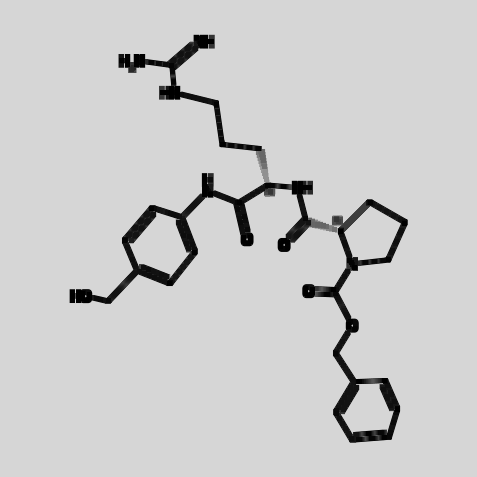 N=C(N)NCCC[C@H](NC(=O)[C@@H]1CCCN1C(=O)OCc1ccccc1)C(=O)Nc1ccc(CO)cc1